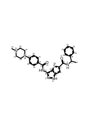 CC(NC(=O)c1cc2[nH]nc(NC(=O)c3ccc(N4CCN(C)CC4)cc3)c2s1)c1ccccc1